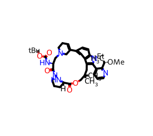 CCn1c(-c2cccnc2[C@H](C)OC)c2c3cc(ccc31)C1=CCCN(C1)C[C@H](NC(=O)OC(C)(C)C)C(=O)N1CCC[C@H](N1)C(=O)OCC(C)(C)C2